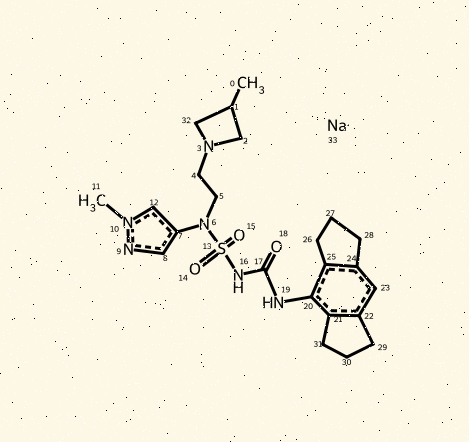 CC1CN(CCN(c2cnn(C)c2)S(=O)(=O)NC(=O)Nc2c3c(cc4c2CCC4)CCC3)C1.[Na]